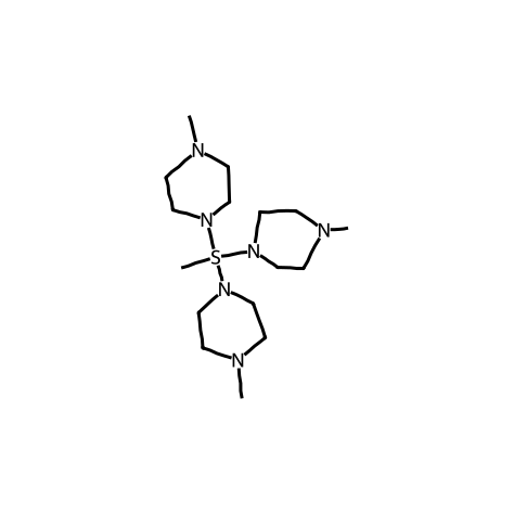 CN1CCN(S(C)(N2CCN(C)CC2)N2CCN(C)CC2)CC1